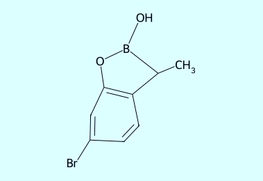 CC1B(O)Oc2cc(Br)ccc21